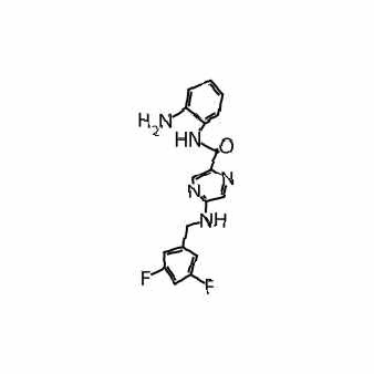 Nc1ccccc1NC(=O)c1cnc(NCc2cc(F)cc(F)c2)cn1